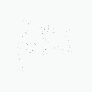 Cc1cn2c(CC(=O)N3CCN(c4ccccc4C(=O)Nc4ccncc4)CC3)csc2n1.O=C(Nc1ccncc1)c1ccccc1N1CCN(C(=O)Cc2cn3ccccc3n2)CC1.O=C(Nc1ccncc1)c1ccccc1N1CCN(C(=O)Cc2cn3cccnc3n2)CC1.O=C(Nc1ccncc1)c1ccccc1N1CCN(C(=O)Cc2cn3ccsc3n2)CC1